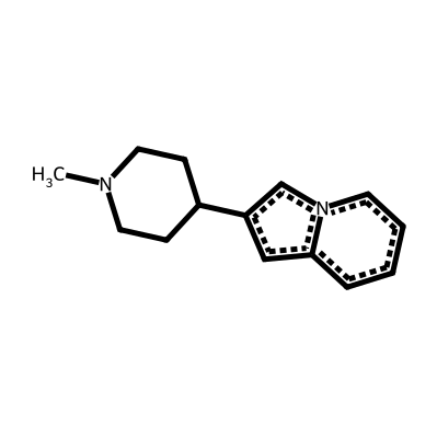 CN1CCC(c2cc3ccccn3c2)CC1